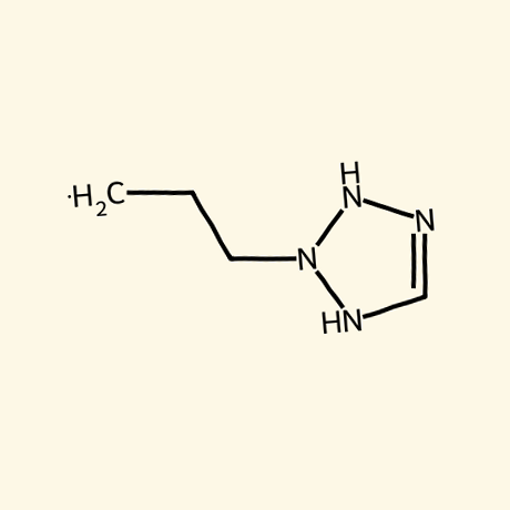 [CH2]CCN1NC=NN1